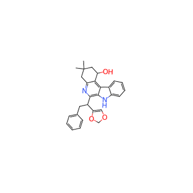 CC1(C)Cc2nc(C(Cc3ccccc3)C3=COCO3)c3[nH]c4ccccc4c3c2C(O)C1